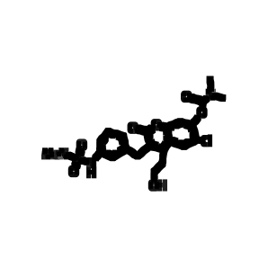 CNS(=O)(=O)Nc1cccc(Cc2c(CCO)c3cc(Cl)c(OC(=O)N(C)C)cc3oc2=O)c1